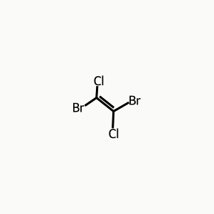 ClC(Br)=C(Cl)Br